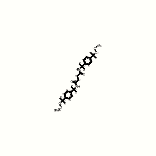 CC(C)(C)OOC(C)(C)c1ccc(C(C)(C)NC(=O)CCC(=O)NC(C)(C)c2ccc(C(C)(C)OOC(C)(C)C)cc2)cc1